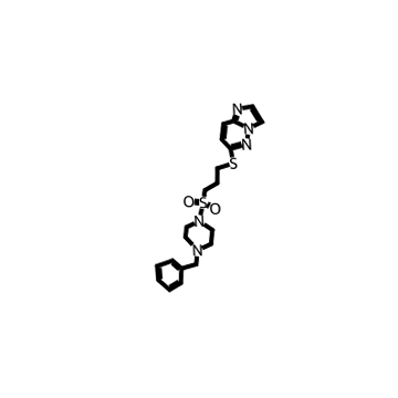 O=S(=O)(CCCSc1ccc2nccn2n1)N1CCN(Cc2ccccc2)CC1